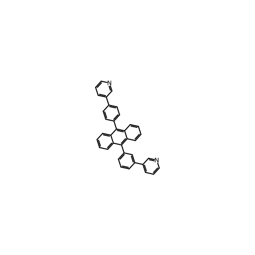 c1cncc(-c2ccc(-c3c4ccccc4c(-c4cccc(-c5cccnc5)c4)c4ccccc34)cc2)c1